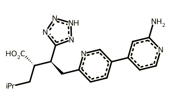 CC(C)C[C@H](C(=O)O)[C@H](Cc1ccc(-c2ccnc(N)c2)cn1)c1nn[nH]n1